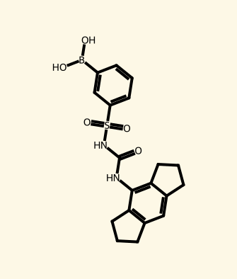 O=C(Nc1c2c(cc3c1CCC3)CCC2)NS(=O)(=O)c1cccc(B(O)O)c1